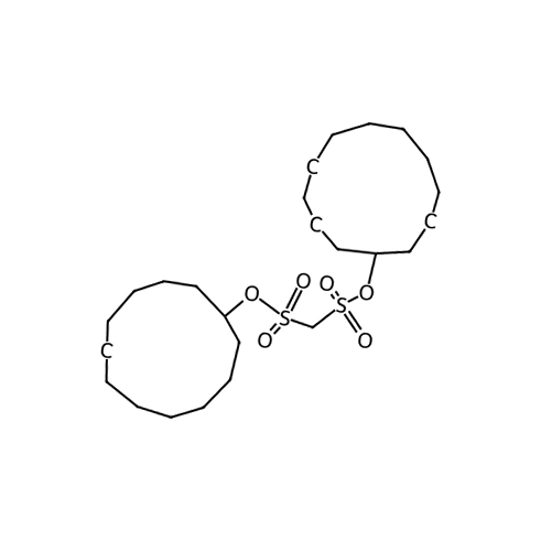 O=S(=O)(CS(=O)(=O)OC1CCCCCCCCCCC1)OC1CCCCCCCCCCC1